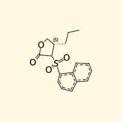 CCC[C@H]1COC(=O)C1S(=O)(=O)c1cccc2ccccc12